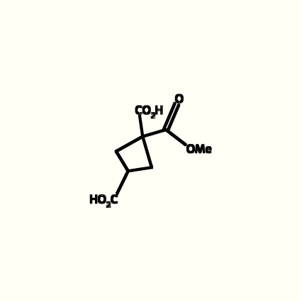 COC(=O)C1(C(=O)O)CC(C(=O)O)C1